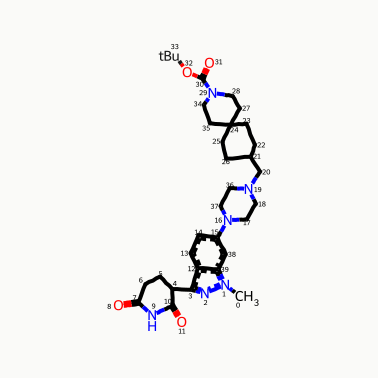 Cn1nc(C2CCC(=O)NC2=O)c2ccc(N3CCN(CC4CCC5(CC4)CCN(C(=O)OC(C)(C)C)CC5)CC3)cc21